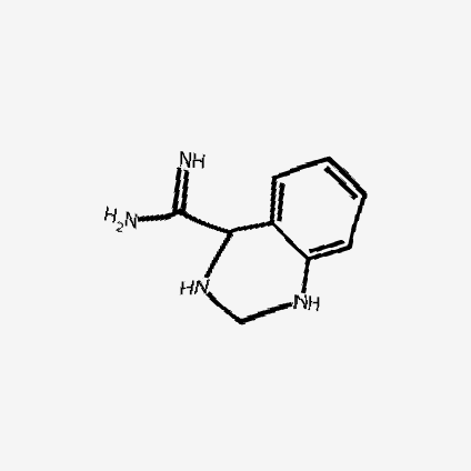 N=C(N)C1NCNc2ccccc21